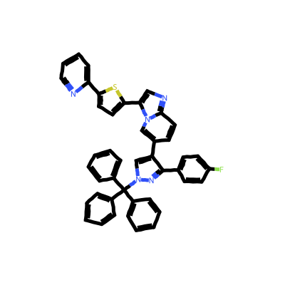 Fc1ccc(-c2nn(C(c3ccccc3)(c3ccccc3)c3ccccc3)cc2-c2ccc3ncc(-c4ccc(-c5ccccn5)s4)n3c2)cc1